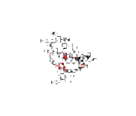 CC(C)C[C@H](N)C(=O)N[C@H]1C(=O)N[C@@H](CC(N)=O)C(=O)N[C@H]2C(=O)N[C@H]3C(=O)N[C@H](C(=O)N[C@H](C(=O)O)c4cc(O)cc(O)c4-c4cc3ccc4O)[C@H](O)c3ccc(c(Cl)c3)Oc3cc2cc(c3OC2O[C@H](CO)[C@@H](O)[C@H](O)[C@H]2O[C@H]2C[C@](C)(NCc3ccc(-c4ccc(Cl)cc4)cc3)[C@H](O)[C@H](C)O2)Oc2ccc(cc2Cl)[C@H]1O